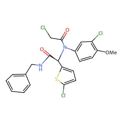 COc1ccc(N(C(=O)CCl)C(C(=O)NCc2ccccc2)c2ccc(Cl)s2)cc1Cl